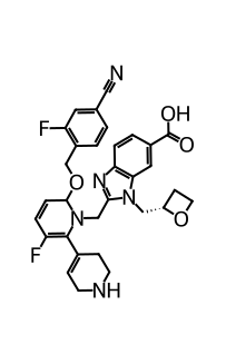 N#Cc1ccc(COC2C=CC(F)=C(C3=CCNCC3)N2Cc2nc3ccc(C(=O)O)cc3n2C[C@@H]2CCO2)c(F)c1